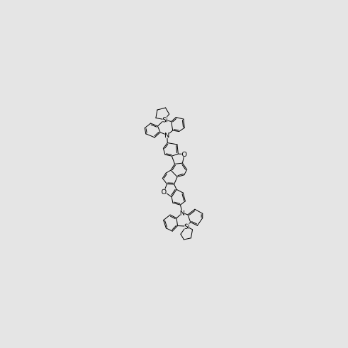 c1ccc2c(c1)N(c1ccc3c(c1)oc1ccc4c(ccc5oc6cc(N7c8ccccc8[Si]8(CCCC8)c8ccccc87)ccc6c54)c13)c1ccccc1[Si]21CCCC1